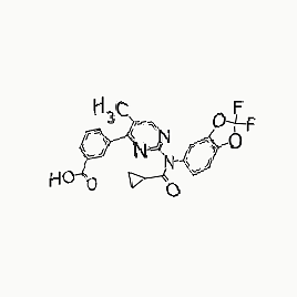 Cc1cnc(N(C(=O)C2CC2)c2ccc3c(c2)OC(F)(F)O3)nc1-c1cccc(C(=O)O)c1